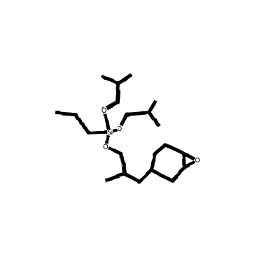 CCC[Si](OCC(C)C)(OCC(C)C)OCC(C)CC1CCC2OC2C1